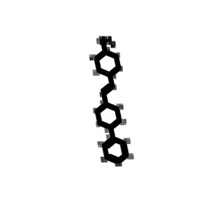 BC1CCC(C=CC2CCC(c3ccccc3)CC2)CC1